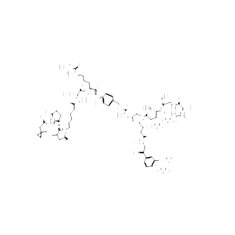 CC[C@H](C)C([C@@H](CC(=O)N1C[C@@H](NC(=O)OCc2ccc(NC(=O)C(CCCNC(N)=O)NC(=O)[C@@H](NC(=O)CCCCCN3C(=O)CC(SCC4(CC(=O)ON5C(=O)CCC5=O)CC4)C3=O)C(C)C)cc2)C[C@H]1[C@H](OC)[C@@H](C)C(=O)NCC(=O)c1ccc(OC)c(OC)c1)OC)N(C)C(=O)[C@@H](NC(=O)[C@H](C(C)C)N(C)C)C(C)C